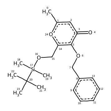 Cc1cc(=O)c(OCc2ccccc2)c(CO[Si](C)(C)C(C)(C)C)o1